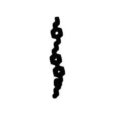 CC=CCOCc1ccc(-c2ccc(CCCCC3CCC(/C=C/C)CC3)cc2)cc1